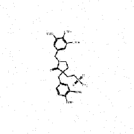 COc1ccc(CC2(CCS(C)(=O)=O)CCN(Cc3cc(OC)c(OC)c(OC)c3)C2=O)cc1OC